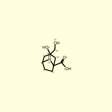 O=C(O)C12CCC(CC(O)(CO)C1)N2